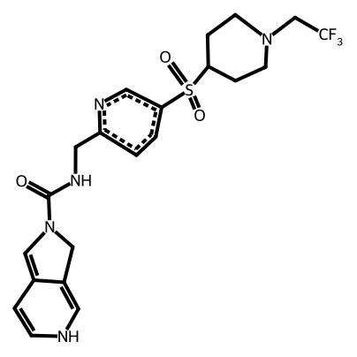 O=C(NCc1ccc(S(=O)(=O)C2CCN(CC(F)(F)F)CC2)cn1)N1C=C2C=CNC=C2C1